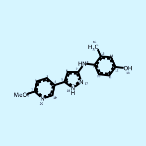 COc1ccc(-c2cc(Nc3ccc(O)cc3C)n[nH]2)cn1